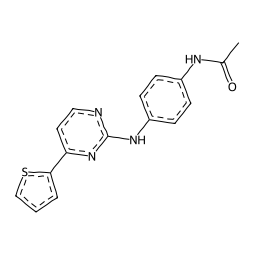 CC(=O)Nc1ccc(Nc2nccc(-c3cccs3)n2)cc1